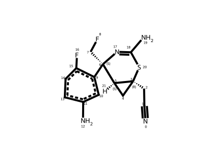 N#CC[C@]12C[C@H]1[C@@](CF)(c1cc(N)ccc1F)N=C(N)S2